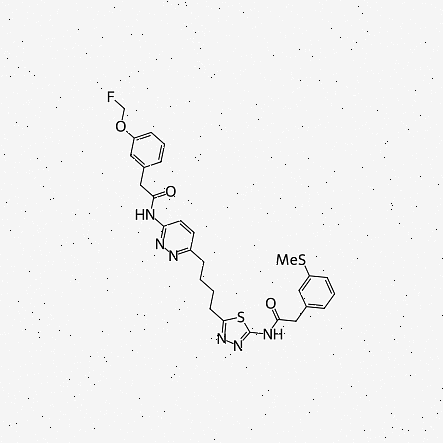 CSc1cccc(CC(=O)Nc2nnc(CCCCc3ccc(NC(=O)Cc4cccc(OCF)c4)nn3)s2)c1